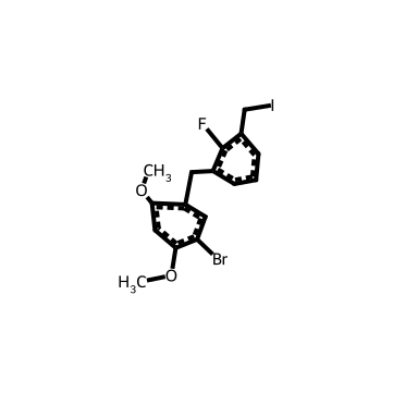 COc1cc(OC)c(Cc2cccc(CI)c2F)cc1Br